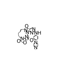 COc1cc(Nc2ncc3c(=O)n4n(c3n2)-c2ccc3c(n2)N(CCC/C=C/C4)C(=O)CO3)ccc1N1CCN(C)CC1